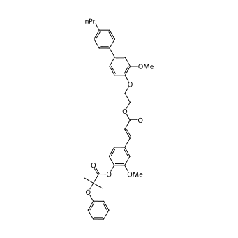 CCCc1ccc(-c2ccc(OCCOC(=O)C=Cc3ccc(OC(=O)C(C)(C)Oc4ccccc4)c(OC)c3)c(OC)c2)cc1